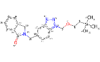 C[Si](C)(C)CCOCn1nnc2cc(CN3Cc4ccccc4C3=O)ccc21